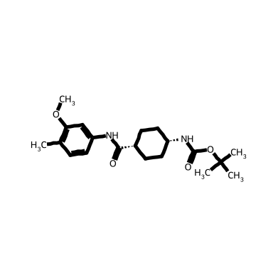 COc1cc(NC(=O)[C@H]2CC[C@@H](NC(=O)OC(C)(C)C)CC2)ccc1C